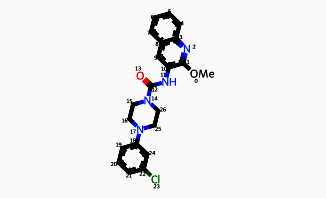 COc1nc2ccccc2cc1NC(=O)N1CCN(c2cccc(Cl)c2)CC1